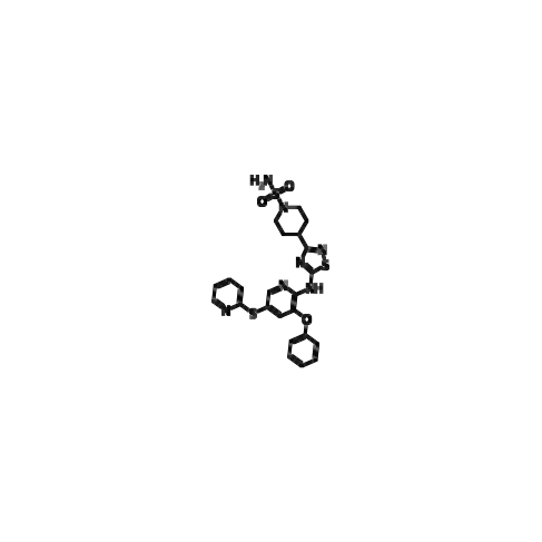 NS(=O)(=O)N1CCC(c2nsc(Nc3ncc(Sc4ccccn4)cc3Oc3ccccc3)n2)CC1